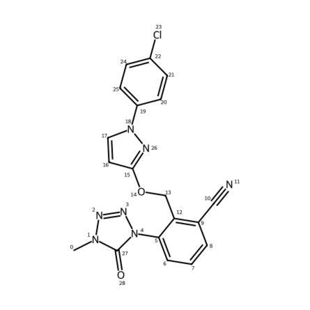 Cn1nnn(-c2cccc(C#N)c2COc2ccn(-c3ccc(Cl)cc3)n2)c1=O